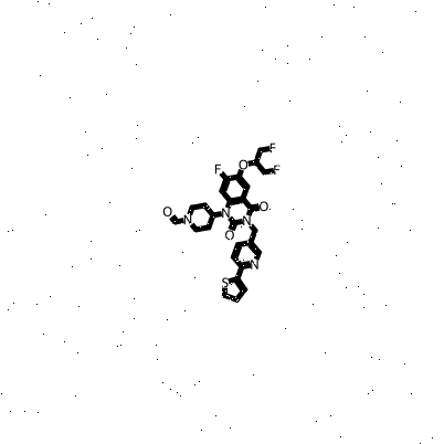 O=CN1CCC(n2c(=O)n(Cc3ccc(C4=CCCS4)nc3)c(=O)c3cc(OC(CF)CF)c(F)cc32)CC1